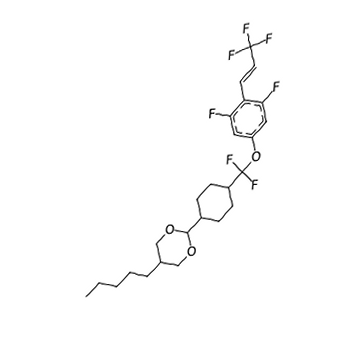 CCCCCC1COC(C2CCC(C(F)(F)Oc3cc(F)c(/C=C/C(F)(F)F)c(F)c3)CC2)OC1